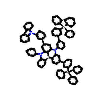 c1ccc(N2c3ccccc3B3c4ccc(-c5cccc([Si](c6ccccc6)(c6ccccc6)c6ccccc6)c5)cc4N(c4cccc(-c5cccc([Si](c6ccccc6)(c6ccccc6)c6ccccc6)c5)c4)c4cc(-c5cccc(-n6c7ccccc7c7ccccc76)c5)cc2c43)cc1